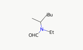 CCC(C)C(C)N(C=O)CC